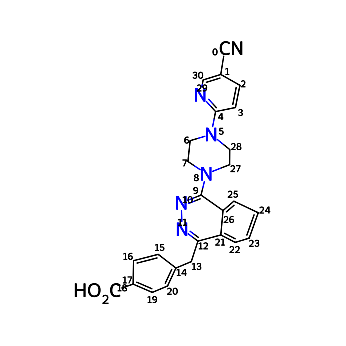 N#Cc1ccc(N2CCN(c3nnc(Cc4ccc(C(=O)O)cc4)c4ccccc34)CC2)nc1